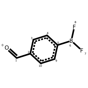 O=Cc1ccc(B(F)F)cc1